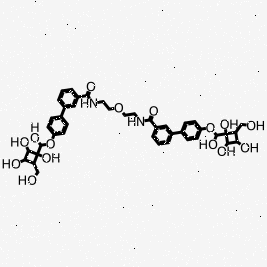 O=C(NCCOCCNC(=O)c1cccc(-c2ccc(OC(O)C3(O)C(O)C(O)C3CO)cc2)c1)c1cccc(-c2ccc(OC(O)C3(O)C(O)C(O)C3CO)cc2)c1